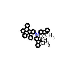 CC1(C)c2ccccc2-c2ccc(N(c3ccc4c(c3)C(C)(C)c3ccccc3-4)c3ccc4c(c3)C(C3=CCCC=C3)(c3ccccc3)c3c-4c4ccccc4c4ccccc34)cc21